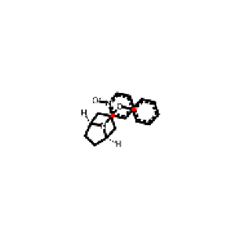 [O-][n+]1ccccc1N1[C@@H]2CC[C@H]1C[C@@H](Oc1ccccc1)C2